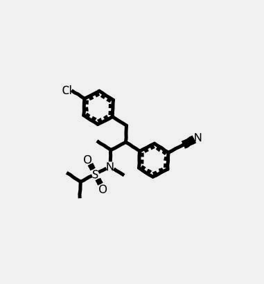 CC(C(Cc1ccc(Cl)cc1)c1cccc(C#N)c1)N(C)S(=O)(=O)C(C)C